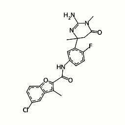 Cc1c(C(=O)Nc2ccc(F)c(C3(C)CC(=O)N(C)C(N)=N3)c2)oc2ccc(Cl)cc12